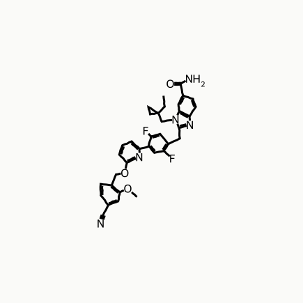 CCC1(Cn2c(Cc3cc(F)c(-c4cccc(OCc5ccc(C#N)cc5OC)n4)cc3F)nc3ccc(C(N)=O)cc32)CC1